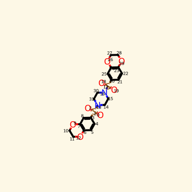 O=S(=O)(c1ccc2c(c1)OCCO2)N1CCN(S(=O)(=O)c2ccc3c(c2)OCCO3)CC1